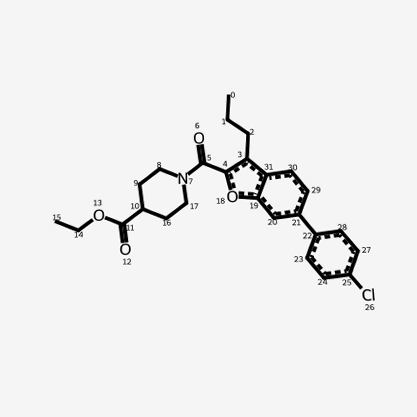 CCCc1c(C(=O)N2CCC(C(=O)OCC)CC2)oc2cc(-c3ccc(Cl)cc3)ccc12